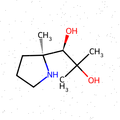 CC(C)(O)[C@H](O)[C@]1(C)CCCN1